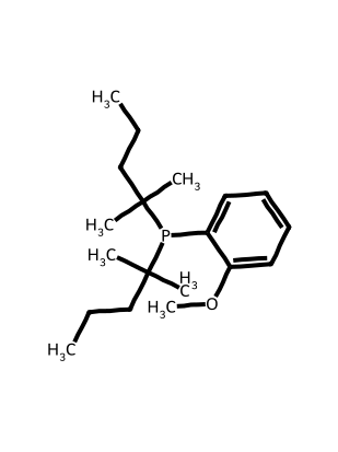 CCCC(C)(C)P(c1ccccc1OC)C(C)(C)CCC